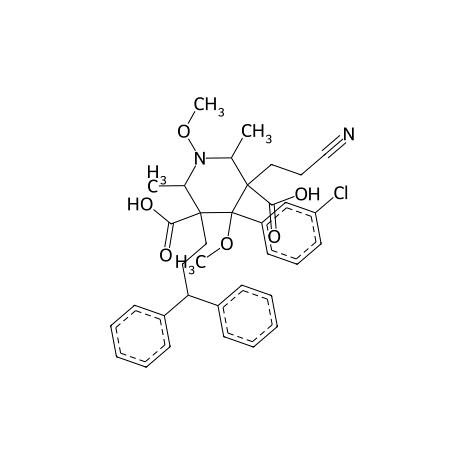 CON1C(C)C(CCC#N)(C(=O)O)C(OC)(c2cccc(Cl)c2)C(CCC(c2ccccc2)c2ccccc2)(C(=O)O)C1C